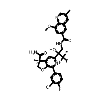 COc1cc(C(=O)NCC(O)(c2cc3c(c(-c4ccc(F)c(Cl)c4)n2)OC[C@]3(C)C(N)=O)C(F)(F)F)cc2cc(C)cnc12